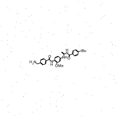 C=C(NC(=O)c1ccc(C(C)(C)C)cc1)Nc1ccc(NC(=O)c2ccc(CN)cc2)c(OC)c1